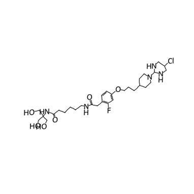 O=C(Cc1ccc(OCCCC2CCN(C3NCC(Cl)CN3)CC2)cc1F)NCCCCCC(=O)NC(CO)(CO)CO